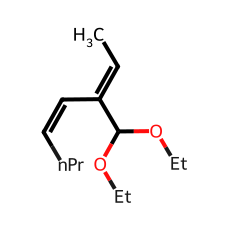 C/C=C(\C=C/CCC)C(OCC)OCC